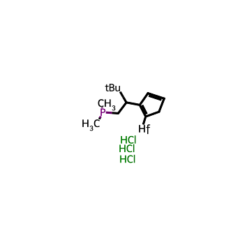 CP(C)CC(C1=[C]([Hf])CC=C1)C(C)(C)C.Cl.Cl.Cl